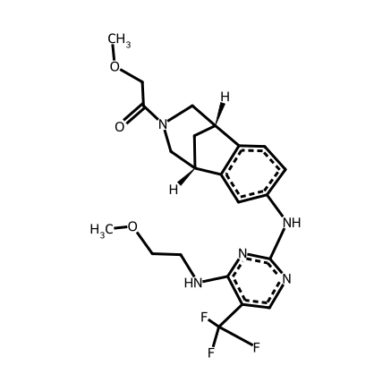 COCCNc1nc(Nc2ccc3c(c2)[C@H]2C[C@@H]3CN(C(=O)COC)C2)ncc1C(F)(F)F